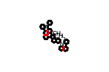 CC1(C)c2c(ccc3cc(N(c4ccccc4)c4ccccc4-c4ccccc4)ccc23)-c2c1c1ccc(N(c3ccccc3)c3ccccc3-c3ccccc3)cc1c1ccccc21